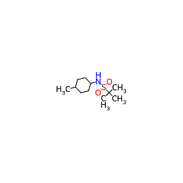 CC1CCC(NS(=O)(=O)C(C)(C)C)CC1